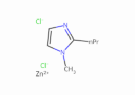 CCCc1nccn1C.[Cl-].[Cl-].[Zn+2]